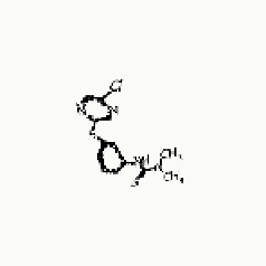 CN(C)C(=S)Nc1cccc(Sc2cnc(Cl)cn2)c1